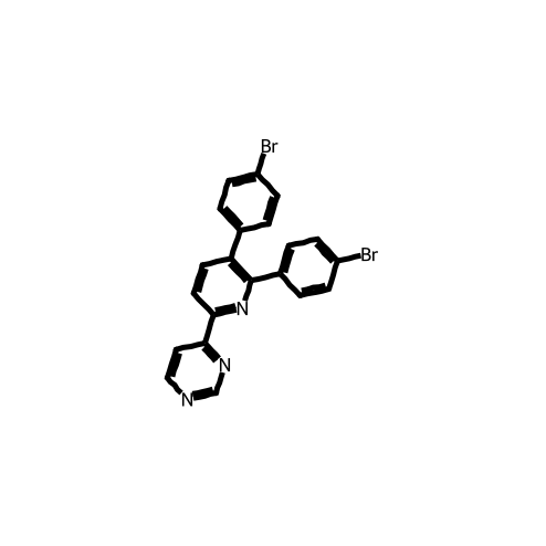 Brc1ccc(-c2ccc(-c3ccncn3)nc2-c2ccc(Br)cc2)cc1